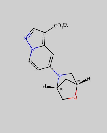 CCOC(=O)c1cnn2ccc(N3C[C@H]4C[C@@H]3CO4)cc12